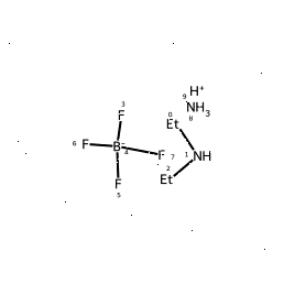 CCNCC.F[B-](F)(F)F.N.[H+]